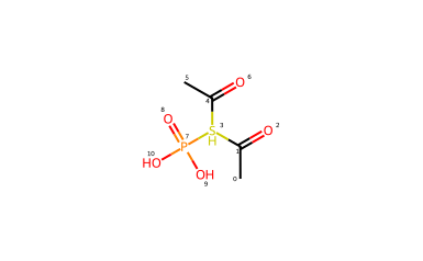 CC(=O)[SH](C(C)=O)P(=O)(O)O